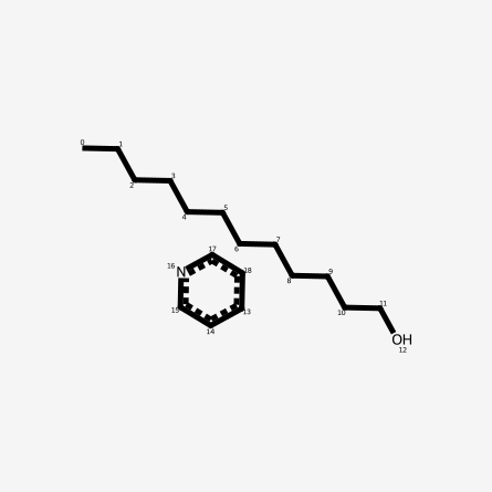 CCCCCCCCCCCCO.c1ccncc1